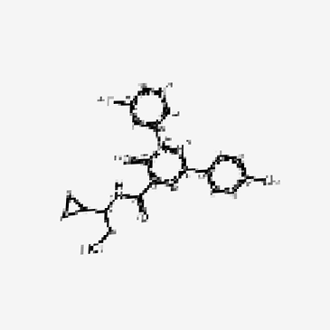 O=C(NC(CO)C1CC1)c1cc(-c2ccc(Cl)cc2)nn(-c2cncc(F)c2)c1=O